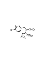 CNC(=C[N+](=O)[O-])N(C=O)Cc1ccc(Br)nc1